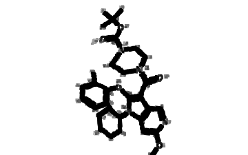 COc1cc2c(cn1)c(C(=O)N1CCN(C(=O)OC(C)(C)C)CC1)c(Oc1c(C)cccc1C)n2C1CCCCC1